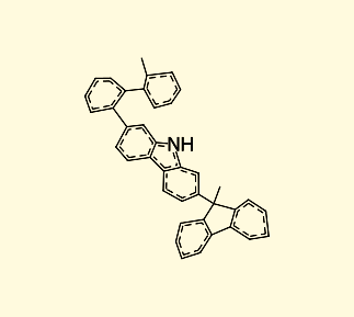 Cc1ccccc1-c1ccccc1-c1ccc2c(c1)[nH]c1cc(C3(C)c4ccccc4-c4ccccc43)ccc12